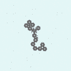 c1ccc(-c2nc(-c3ccc4c(c3)C(c3ccccc3)(c3ccccc3)c3ccccc3-4)nc(-c3ccc4c(c3)sc3ccc(-c5cccc(-c6cccc(-c7ccc8c9ccccc9c9ccccc9c8c7)c6)c5)cc34)n2)cc1